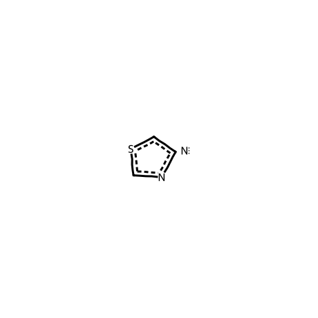 [N].c1cscn1